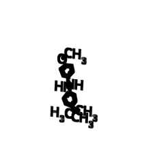 COc1ccc(NNc2ccc(C(C)(C)C)cc2)cc1